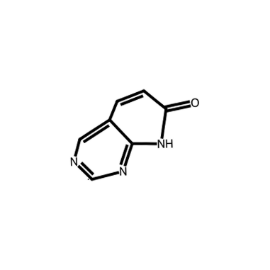 O=c1ccc2cn[c]nc2[nH]1